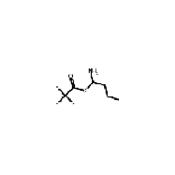 CCCC(N)OC(=O)C(F)(F)F